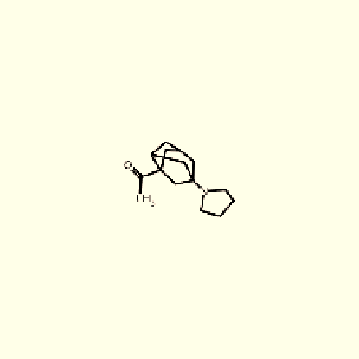 CC(=O)C12CC3CC1CC(N1CCCC1)(C3)C2